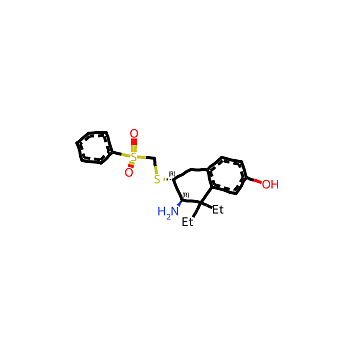 CCC1(CC)c2cc(O)ccc2C[C@@H](SCS(=O)(=O)c2ccccc2)[C@@H]1N